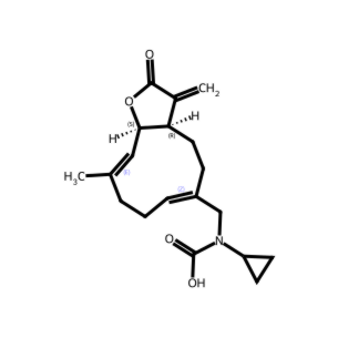 C=C1C(=O)O[C@@H]2/C=C(\C)CC/C=C(\CN(C(=O)O)C3CC3)CC[C@H]12